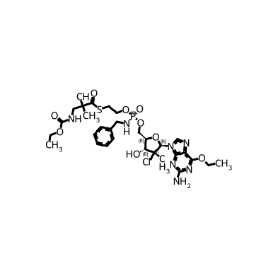 CCOC(=O)NCC(C)(C)C(=O)SCCO[P@](=O)(NCc1ccccc1)OC[C@H]1O[C@@H](n2cnc3c(OCC)nc(N)nc32)[C@](C)(Cl)[C@@H]1O